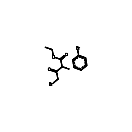 Brc1ccccc1.CCOC(=O)C(C)C(=O)CBr